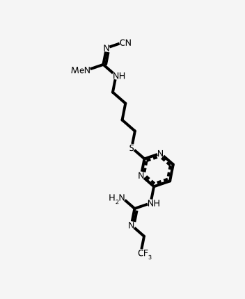 CN/C(=N/C#N)NCCCCSc1nccc(N/C(N)=N\CC(F)(F)F)n1